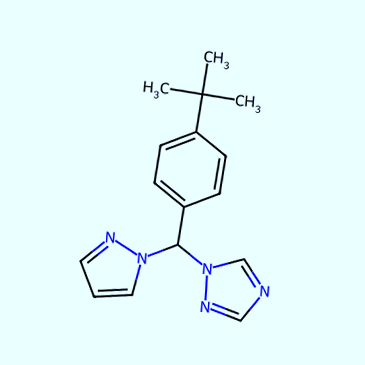 CC(C)(C)c1ccc(C(n2cccn2)n2cncn2)cc1